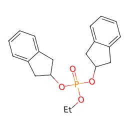 CCOP(=O)(OC1Cc2ccccc2C1)OC1Cc2ccccc2C1